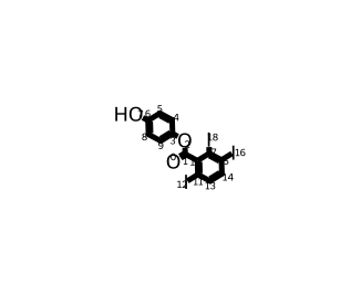 O=C(Oc1ccc(O)cc1)c1c(I)ccc(I)c1I